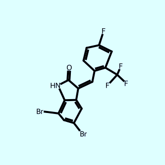 O=C1Nc2c(Br)cc(Br)cc2C1=Cc1ccc(F)cc1C(F)(F)F